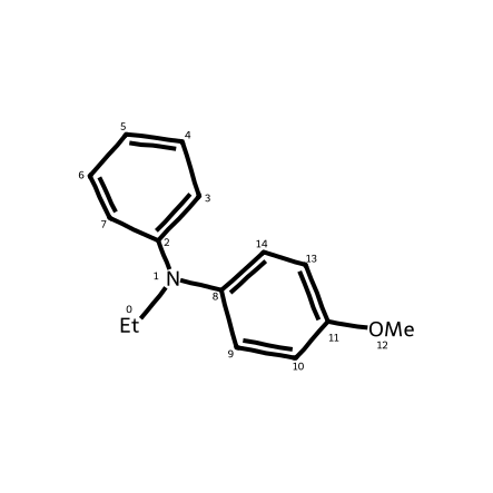 CCN(c1ccccc1)c1ccc(OC)cc1